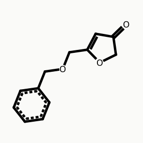 O=C1C=C(COCc2ccccc2)OC1